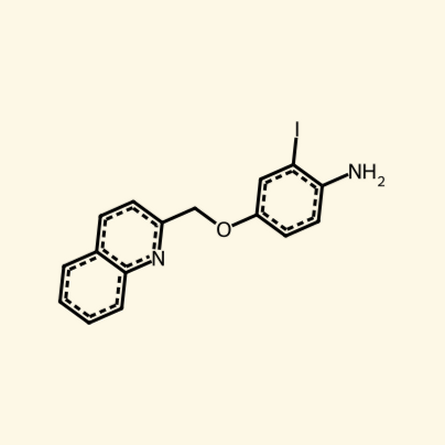 Nc1ccc(OCc2ccc3ccccc3n2)cc1I